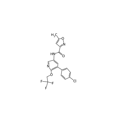 Cc1cc(C(=O)Nc2cnc(OCC(F)(F)F)c(-c3ccc(Cl)cc3)c2)no1